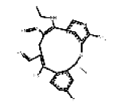 CCN/C1=C(\N=N)C/C(C=N)=C(/S)c2ccc(F)cc2[C@@H](C)Oc2cc1cnc2N